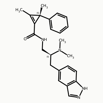 CC1=C(C(=O)NC[C@H](Cc2ccc3[nH]ncc3c2)N(C)C)[C@@]1(C)c1ccccc1